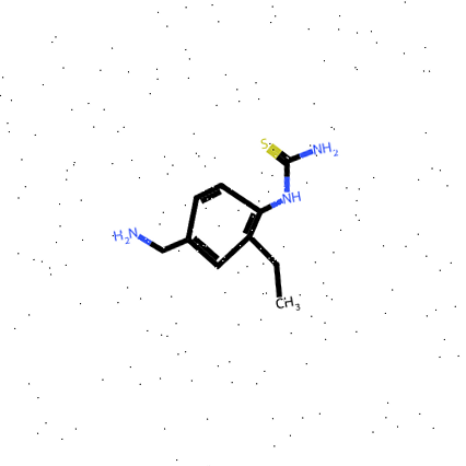 CCc1cc(CN)ccc1NC(N)=S